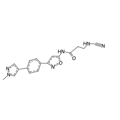 Cn1cc(-c2ccc(-c3cc(NC(=O)CCNC#N)on3)cc2)cn1